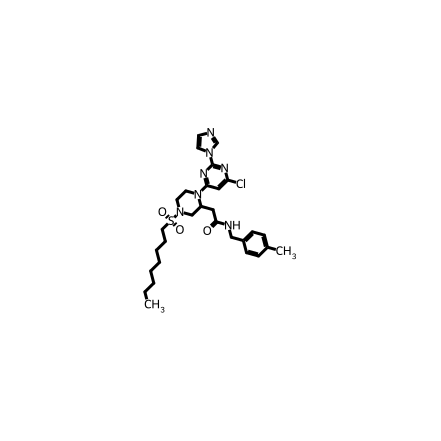 CCCCCCCCS(=O)(=O)N1CCN(c2cc(Cl)nc(-n3ccnc3)n2)C(CC(=O)NCc2ccc(C)cc2)C1